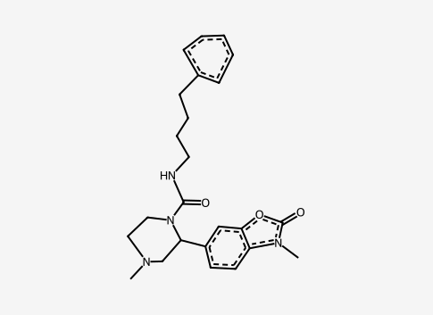 CN1CCN(C(=O)NCCCCc2ccccc2)C(c2ccc3c(c2)oc(=O)n3C)C1